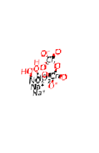 O=[N+]([O-])O.O=[N+]([O-])O.[Na+].[Na+].[O]=[Cr](=[O])([O-])[O][Cr](=[O])(=[O])[O-]